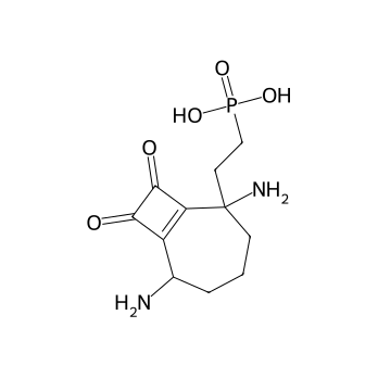 NC1CCCC(N)(CCP(=O)(O)O)c2c1c(=O)c2=O